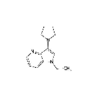 CCn1cc(N2CCCC2)c2ncccc21